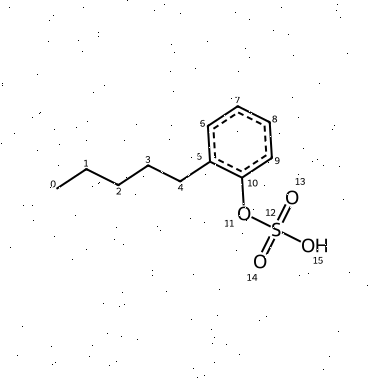 CCCCCc1ccccc1OS(=O)(=O)O